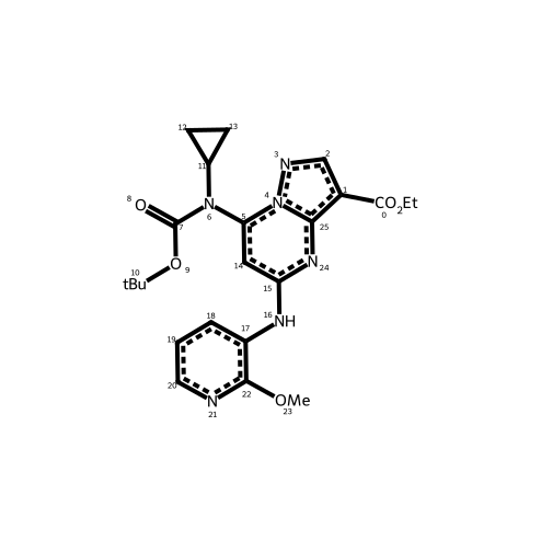 CCOC(=O)c1cnn2c(N(C(=O)OC(C)(C)C)C3CC3)cc(Nc3cccnc3OC)nc12